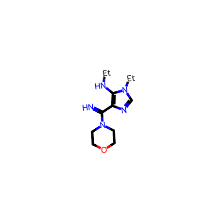 CCNc1c(C(=N)N2CCOCC2)ncn1CC